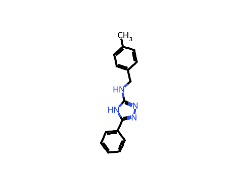 Cc1ccc(CNc2nnc(-c3ccccc3)[nH]2)cc1